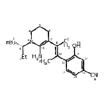 CCCC[C@@H](CC)N1CCCC(/C(C)=C(\C)c2ccc(C#N)cc2O)=C1N